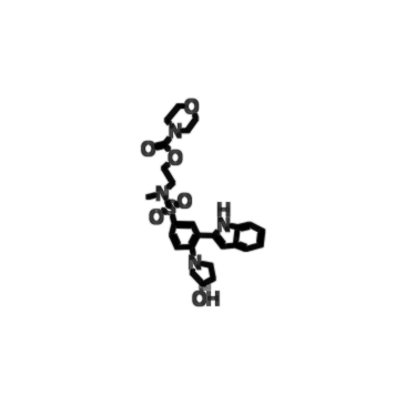 CN(CCOC(=O)N1CCOCC1)S(=O)(=O)c1ccc(N2CC[C@H](O)C2)c(-c2cc3ccccc3[nH]2)c1